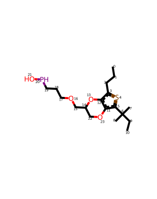 CCCc1sc(C(C)(C)CC)c2c1OC(COCCCPO)CO2